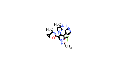 CCOC1(C(F)(F)F)NC=C(C(=O)NC(C)C2CC2)C(N2CC[C@](C)(N)C2)=C1c1ccncc1